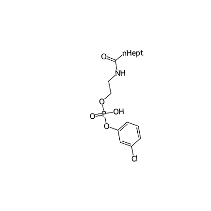 CCCCCCCC(=O)NCCOP(=O)(O)Oc1cccc(Cl)c1